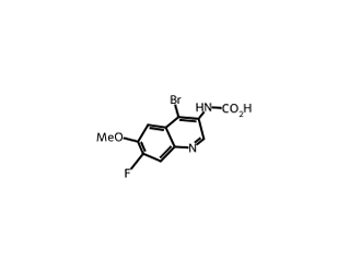 COc1cc2c(Br)c(NC(=O)O)cnc2cc1F